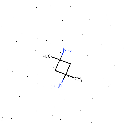 CC1(N)CC(C)(N)C1